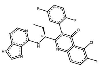 CC[C@H](Nc1ncnc2[nH]cnc12)c1nc2ccc(F)c(Cl)c2c(=O)n1-c1cc(F)ccc1F